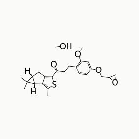 CO.COc1cc(OCC2CO2)ccc1CCC(=O)c1sc(C)c2c1C[C@@H]1[C@H]2C1(C)C